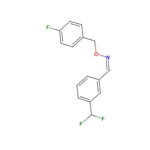 Fc1ccc(CO/N=[C]\c2cccc(C(F)F)c2)cc1